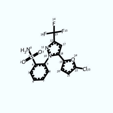 NS(=O)(=O)c1ccccc1-n1nc(C(F)(F)F)cc1-c1ccc(Cl)o1